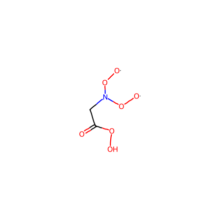 [O]ON(CC(=O)OO)O[O]